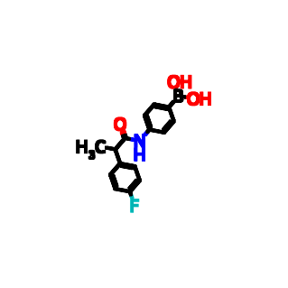 CC(C(=O)Nc1ccc(B(O)O)cc1)c1ccc(F)cc1